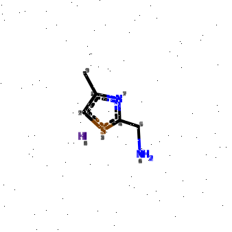 Cc1csc(CN)n1.I